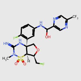 CN1C(=N)N[C@@]2(c3cc(NC(O)c4cnc(C(F)(F)F)cn4)ccc3F)CO[C@@H](CF)[C@H]2S1(=O)=O